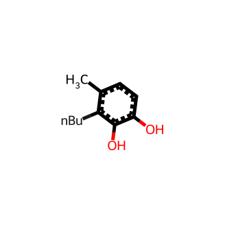 CCCCc1c(C)ccc(O)c1O